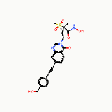 C[C@](CCn1cnc2cc(C#Cc3ccc(CO)cc3)ccc2c1=O)(C(=O)NO)S(C)(=O)=O